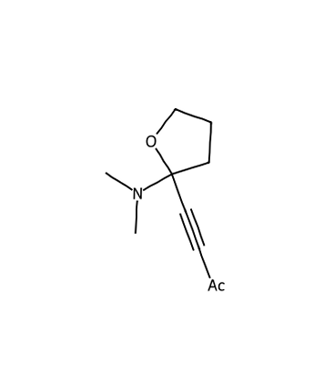 CC(=O)C#CC1(N(C)C)CCCO1